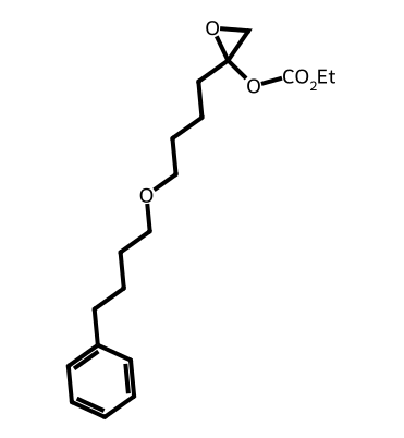 CCOC(=O)OC1(CCCCOCCCCc2ccccc2)CO1